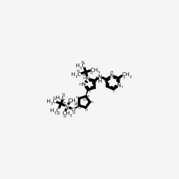 Cc1nccc(Nc2cc([C@H]3CC[C@@H](O[Si](C)(C)C(C)(C)C)C3)nn2C(C)(C)C)n1